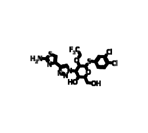 Nc1nc(-c2cn(C3C(O)C(CO)OC(Sc4ccc(Cl)c(Cl)c4)C3OCC(F)(F)F)nn2)cs1